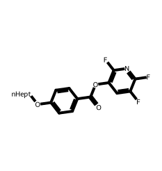 CCCCCCCOc1ccc(C(=O)Oc2cc(F)c(F)nc2F)cc1